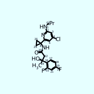 CC(C)Nc1cc(Cl)cc(C2(NC(=O)CC(C)(O)c3ccc(F)cc3F)CC2)n1